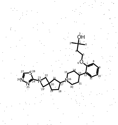 CC(C)(O)CCOc1ccccc1C1CCN(C2CCC3(C2)CN(c2nncs2)C3)CC1